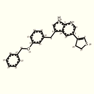 C1=C(c2cnc3[nH]cc(Cc4cccc(OCc5ccccc5)c4)c3c2)CCS1